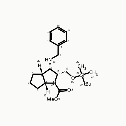 COC(=O)N1[C@@H]2CCC[C@@H]2[C@H](NCc2ccccc2)[C@@H]1CO[Si](C)(C)C(C)(C)C